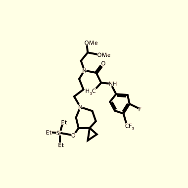 CC[Si](CC)(CC)OC1CN(CCCN(CC(OC)OC)C(=O)C(C)Nc2ccc(C(F)(F)F)c(F)c2)CCC12CC2